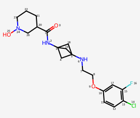 O=C(NC12CC(NCCOc3ccc(Cl)c(F)c3)(C1)C2)C1CCCN(O)C1